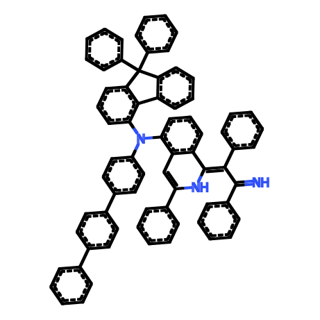 N=C(/C(=C1\NC(c2ccccc2)=Cc2c1cccc2N(c1ccc(-c2ccc(-c3ccccc3)cc2)cc1)c1cccc2c1-c1ccccc1C2(c1ccccc1)c1ccccc1)c1ccccc1)c1ccccc1